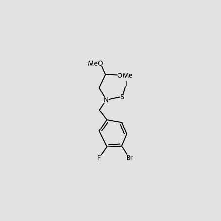 COC(CN(Cc1ccc(Br)c(F)c1)SI)OC